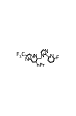 CCCc1cc2nc(C(F)(F)F)cn2nc1Cn1ccnc1-c1cccc(F)n1